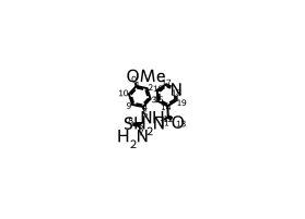 COc1ccc(NC(N)=S)cc1.NC(=O)c1cccnc1